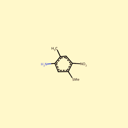 CSc1cc(N)c(C)cc1[N+](=O)[O-]